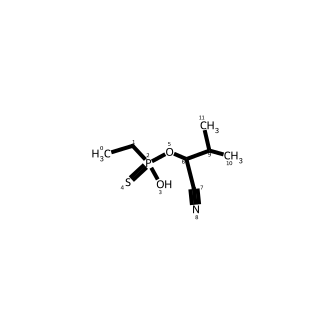 CCP(O)(=S)OC(C#N)C(C)C